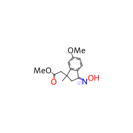 COC(=O)CC1(C)C/C(=N/O)c2ccc(OC)cc21